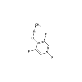 [CH3][Zn][O]c1c(F)cc(F)cc1F